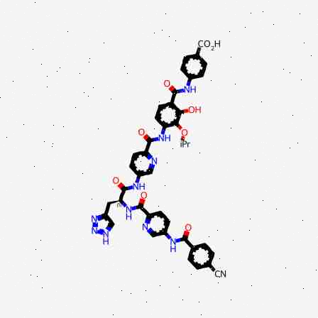 CC(C)Oc1c(NC(=O)c2ccc(NC(=O)[C@H](Cc3c[nH]nn3)NC(=O)c3ccc(NC(=O)c4ccc(C#N)cc4)cn3)cn2)ccc(C(=O)Nc2ccc(C(=O)O)cc2)c1O